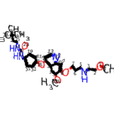 COCCNCCCOc1cc2nccc(Oc3ccc(NC(=O)NCCC(C)(C)C)cc3)c2cc1OC